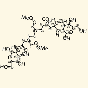 COOCN(CCN(COOC)CC(=O)NC1C(O)O[C@@H](CO)[C@@H](O)[C@@H]1O)CCN(CC(=O)NC1C(O)O[C@H](CO)[C@H](O)[C@H]1O)C(=O)O